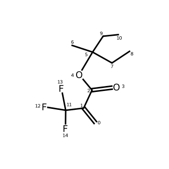 C=C(C(=O)OC(C)(CC)CC)C(F)(F)F